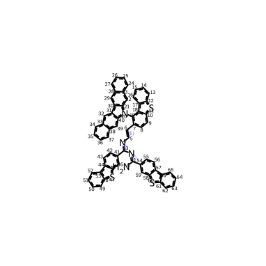 N\C(=N/C(=N\C=C\c1ccc2sc3ccccc3c2c1-n1c2cc3ccccc3cc2c2cc3ccccc3cc21)c1ccc2c(c1)sc1ccccc12)c1ccc2c(c1)sc1ccccc12